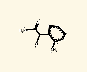 NC(=O)C(Cl)c1ccccc1N